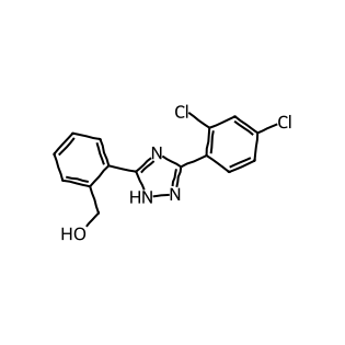 OCc1ccccc1-c1nc(-c2ccc(Cl)cc2Cl)n[nH]1